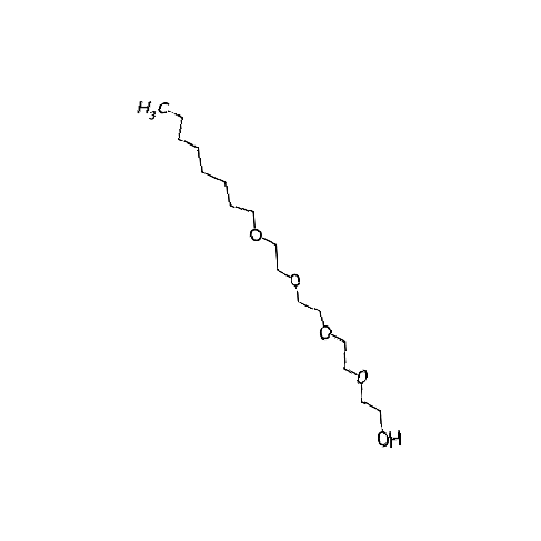 CCCCCCCCOCCOCCOCCOCCO